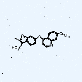 Cc1oc2cc(Oc3ccnc4cc(OC(F)(F)F)ccc34)ccc2c1C(=O)O